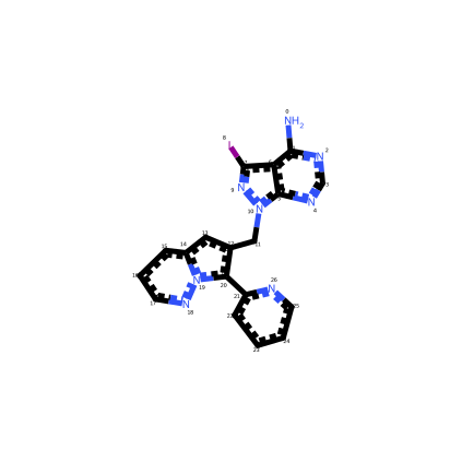 Nc1ncnc2c1c(I)nn2Cc1cc2cccnn2c1-c1ccccn1